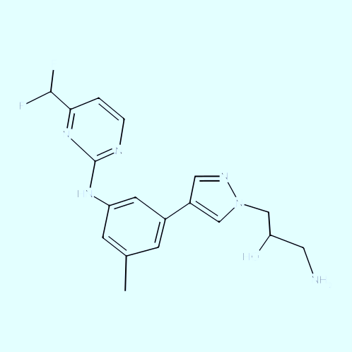 Cc1cc(Nc2nccc(C(F)F)n2)cc(-c2cnn(CC(O)CN)c2)c1